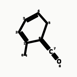 [CH]C1=CC=CCC1=C=O